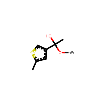 CCCOC(C)(O)c1csc(C)c1